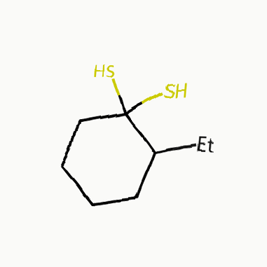 CCC1CCCCC1(S)S